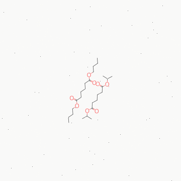 CC(C)OC(=O)CCCCC(=O)OC(C)C.CCCCOC(=O)CCCCC(=O)OCCCC